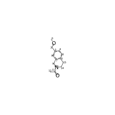 COCc1ccc2c(c1)CN(C(C)=O)CC2